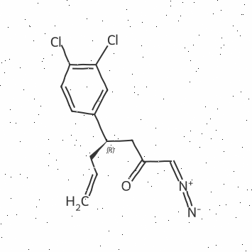 C=CC[C@H](CC(=O)C=[N+]=[N-])c1ccc(Cl)c(Cl)c1